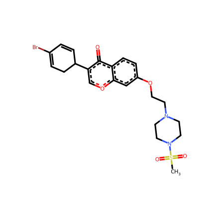 CS(=O)(=O)N1CCN(CCOc2ccc3c(=O)c(C4C=CC(Br)=CC4)coc3c2)CC1